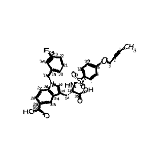 CC#CCOc1ccc(S(=O)(=O)N[C@@H](Cc2cn(Cc3cccc(F)c3)c3ccc(C(=O)O)cc23)C(=O)O)cc1